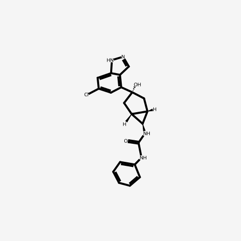 O=C(Nc1ccccc1)N[C@H]1[C@@H]2C[C@@](O)(c3cc(Cl)cc4[nH]ncc34)C[C@@H]21